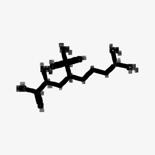 CN(C)CCCN(C[C@H](N)C(=O)O)S(N)(=O)=O